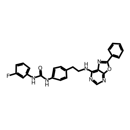 O=C(Nc1ccc(CCNc2ncnc3oc(-c4ccccc4)nc23)cc1)Nc1cccc(F)c1